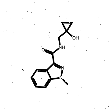 Cn1nc(C(=O)NCC2(O)CC2)c2ccccc21